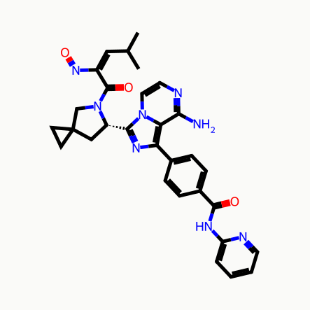 CC(C)/C=C(/N=O)C(=O)N1CC2(CC2)C[C@H]1c1nc(-c2ccc(C(=O)Nc3ccccn3)cc2)c2c(N)nccn12